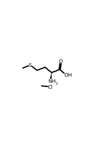 CCl.CSCC[C@H](N)C(=O)O